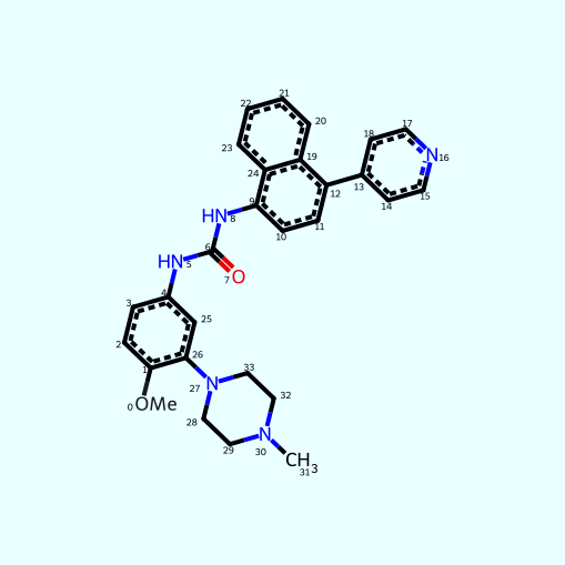 COc1ccc(NC(=O)Nc2ccc(-c3ccncc3)c3ccccc23)cc1N1CCN(C)CC1